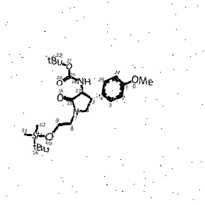 COc1ccc([C@@H]2CN(CCO[Si](C)(C)C(C)(C)C)C(=O)[C@H]2NC(=O)OC(C)(C)C)cc1